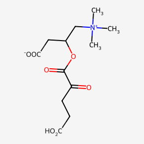 C[N+](C)(C)CC(CC(=O)[O-])OC(=O)C(=O)CCC(=O)O